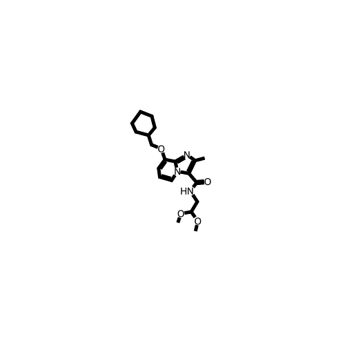 COC(CNC(=O)c1c(C)nc2c(OCC3CCCCC3)cccn12)OC